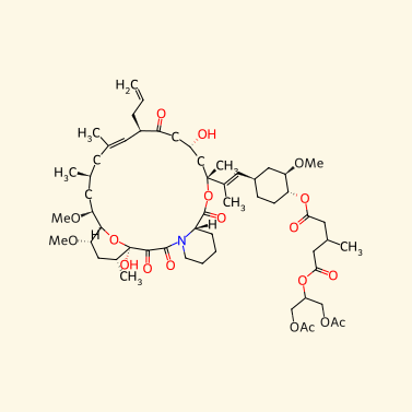 C=CC[C@@H]1/C=C(\C)C[C@H](C)C[C@H](OC)[C@H]2O[C@@](O)(C(=O)C(=O)N3CCCC[C@H]3C(=O)O[C@@](C)(/C(C)=C/[C@@H]3CC[C@@H](OC(=O)CC(C)CC(=O)OC(COC(C)=O)COC(C)=O)[C@H](OC)C3)C[C@@H](O)CC1=O)[C@H](C)C[C@@H]2OC